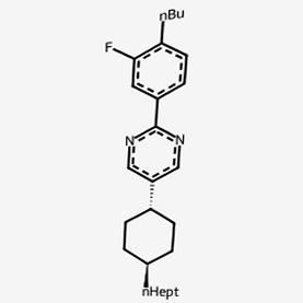 CCCCCCC[C@H]1CC[C@H](c2cnc(-c3ccc(CCCC)c(F)c3)nc2)CC1